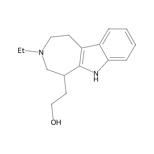 CCN1CCc2c([nH]c3ccccc23)C(CCO)C1